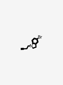 C#CCCN1CCc2cc(Br)ccc21